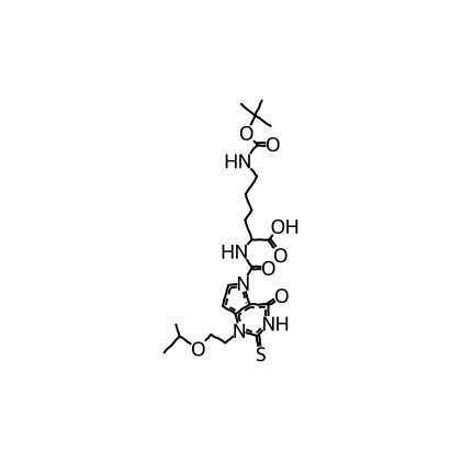 CC(C)OCCn1c(=S)[nH]c(=O)c2c1ccn2C(=O)NC(CCCCNC(=O)OC(C)(C)C)C(=O)O